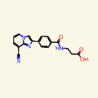 N#Cc1cccn2cc(-c3ccc(C(=O)NCCC(=O)O)cc3)nc12